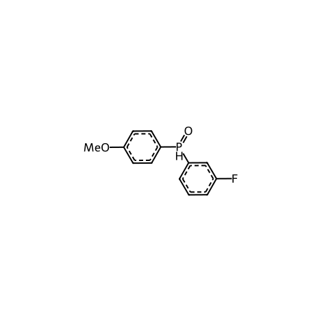 COc1ccc([PH](=O)c2cccc(F)c2)cc1